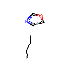 CCCC.c1cocn1